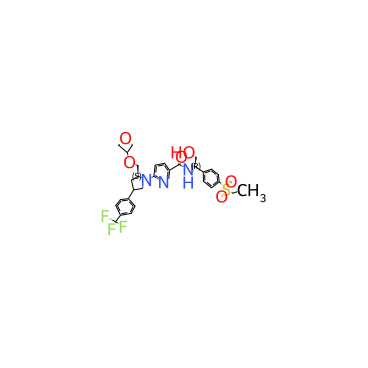 CCS(=O)(=O)c1ccc([C@H](CO)NC(=O)c2ccc(N3CC(c4ccc(C(F)(F)F)cc4)C[C@H]3COC3COC3)nc2)cc1